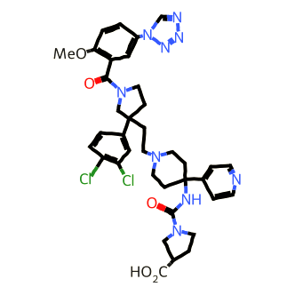 COc1ccc(-n2cnnn2)cc1C(=O)N1CCC(CCN2CCC(NC(=O)N3CCC(C(=O)O)C3)(c3ccncc3)CC2)(c2ccc(Cl)c(Cl)c2)C1